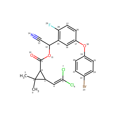 CC1(C)C(C=C(Cl)Cl)C1C(=O)OC(C#N)c1cc(Oc2ccc(Br)cc2)ccc1F